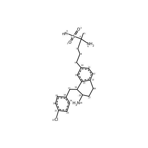 CCCS(=O)(=O)C(C)(N)CCCc1ccc2c(c1)C(Cc1ccc(Cl)cc1)C(N)CC2